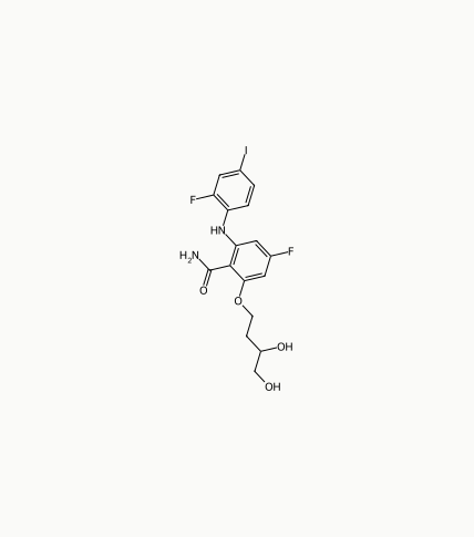 NC(=O)c1c(Nc2ccc(I)cc2F)cc(F)cc1OCCC(O)CO